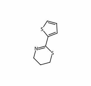 c1csc(C2=NCCCS2)c1